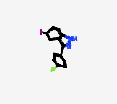 Fc1ccc(-c2n[nH]c3ccc(I)cc23)cc1